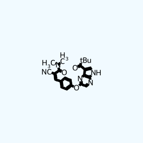 CN(C)C(=O)C(C#N)=Cc1ccc(Oc2cnc3[nH]cc(C(=O)C(C)(C)C)c3n2)cc1